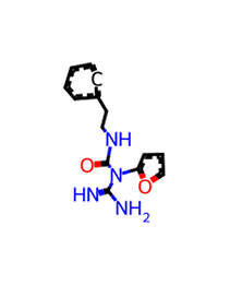 N=C(N)N(C(=O)NCCc1ccccc1)c1ccco1